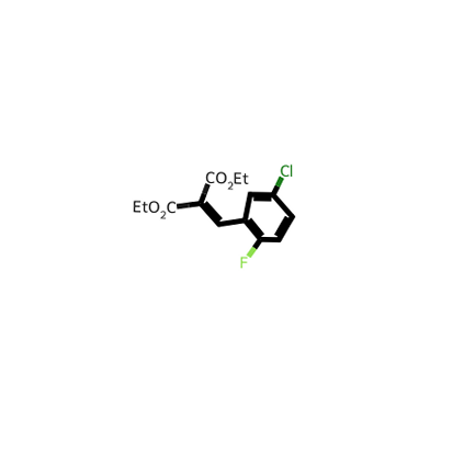 CCOC(=O)C(=Cc1cc(Cl)ccc1F)C(=O)OCC